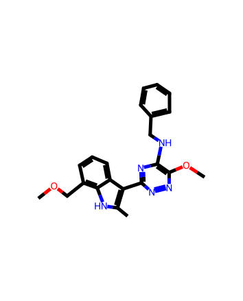 COCc1cccc2c(-c3nnc(OC)c(NCc4ccccc4)n3)c(C)[nH]c12